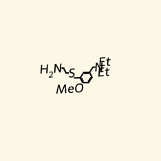 CCN(CC)Cc1ccc(OC)c(CSCCN)c1